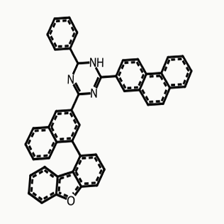 c1ccc(C2N=C(c3cc(-c4cccc5oc6ccccc6c45)c4ccccc4c3)N=C(c3ccc4c(ccc5ccccc54)c3)N2)cc1